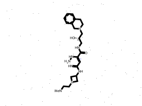 CNCCN1CC(NC(=N)/C=C(\NN)C(=O)NC[C@H](O)CN2CCc3ccccc3C2)C1